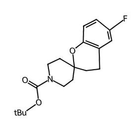 CC(C)(C)OC(=O)N1CCC2(CCc3cc(F)ccc3O2)CC1